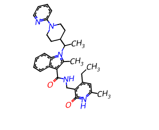 CCc1cc(C)[nH]c(=O)c1CNC(=O)c1c(C)n(C(C)C2CCN(c3ccccn3)CC2)c2ccccc12